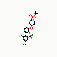 CC(C)(C)OC(=O)N1CCC(Oc2cccc(-c3c(Cl)cc(N=S)cc3C(F)(F)F)c2)CC1